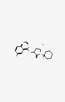 CC(=O)NC1(N2C(=O)C(Nc3ncnc4ccc(C(F)(F)F)cc34)C[C@@H]2NC(C)(C)C)CCCCC1